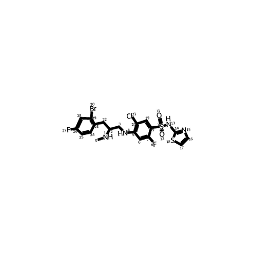 CNC(CNc1cc(F)c(S(=O)(=O)Nc2nccs2)cc1Cl)Cc1ccc(F)cc1Br